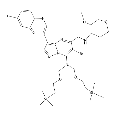 COC1COCCC1NCc1nc2c(-c3cnc4ccc(F)cc4c3)cnn2c(N(COCC[Si](C)(C)C)COCC[Si](C)(C)C)c1Br